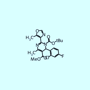 COC(=O)C1=C(C)N=C(c2ncoc2C)N(C(=O)OC(C)(C)C)C1c1ccc(F)cc1Cl